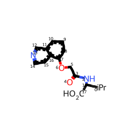 CC(C)C(NC(=O)COc1cccc2cnccc12)C(=O)O